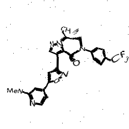 CNc1cc(-c2cc(-c3cnn4c3C(=O)N(c3ccc(C(F)(F)F)cc3)C[C@@H]4C)no2)ccn1